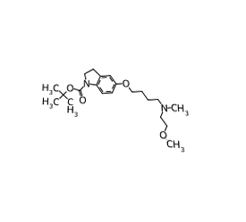 COCCN(C)CCCCOc1ccc2c(c1)CCN2C(=O)OC(C)(C)C